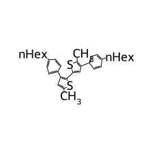 CCCCCCc1ccc(-c2cc(-c3sc(C)cc3-c3ccc(CCCCCC)cc3)sc2C)cc1